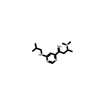 CC(C)CNc1cc(C(=N)CC(C)N(C)C)ncn1